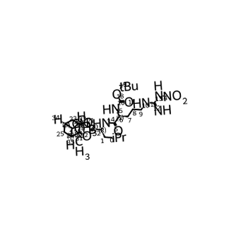 CC(C)C[C@H](NC(=O)[C@H](CCCNC(=N)N[N+](=O)[O-])NC(=O)OC(C)(C)C)B1O[C@@H]2C[C@@H]3C[C@@H](C3(C)C)[C@]2(C)O1